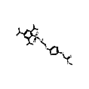 COC(=O)COc1ccc(SCCNS(=O)(=O)c2c(C(C)C)cc(C(C)C)cc2C(C)C)cc1